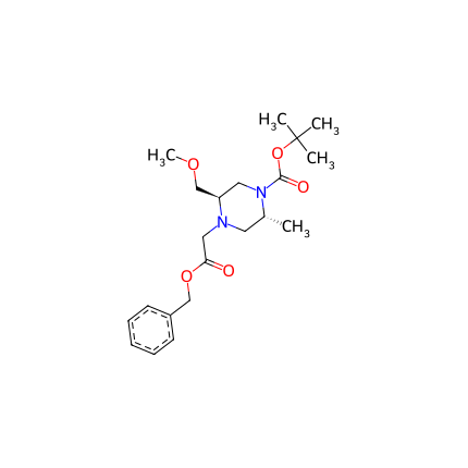 COC[C@H]1CN(C(=O)OC(C)(C)C)[C@H](C)CN1CC(=O)OCc1ccccc1